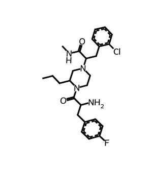 CCCC1CN(C(Cc2ccccc2Cl)C(=O)NC)CCN1C(=O)C(N)Cc1ccc(F)cc1